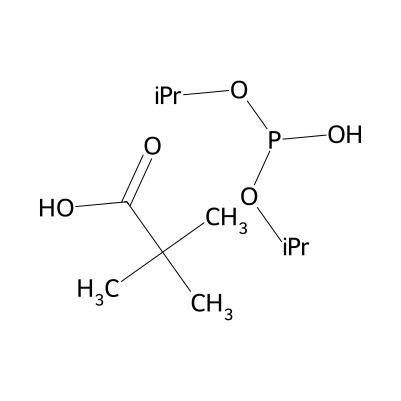 CC(C)(C)C(=O)O.CC(C)OP(O)OC(C)C